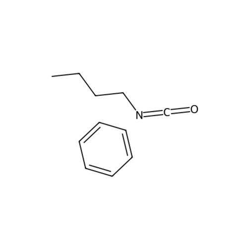 CCCCN=C=O.c1ccccc1